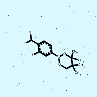 CC1(C)COB(c2ccc(C(F)F)c(F)c2)OC1(C)C